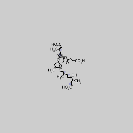 CCCC[C@@]1(OC(=O)CCC(=O)O)CC[C@]2(CC[C@H](C)[C@@H](C/C=C(C)/C=C/[C@H](O)[C@@H](C)/C=C/C(=O)O)O2)O[C@H]1/C=C/C(C)=C/C(=O)O